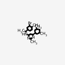 Cc1cc(C)cc(-c2cc(NC(C)c3ccc(C)c(Br)c3)nc(C)n2)c1